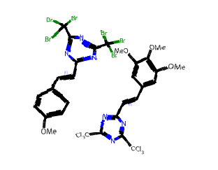 COc1cc(/C=C/c2nc(C(Cl)(Cl)Cl)nc(C(Cl)(Cl)Cl)n2)cc(OC)c1OC.COc1ccc(/C=C/c2nc(C(Br)(Br)Br)nc(C(Br)(Br)Br)n2)cc1